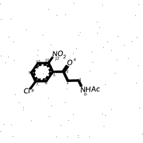 CC(=O)NCCC(=O)c1cc(Cl)ccc1[N+](=O)[O-]